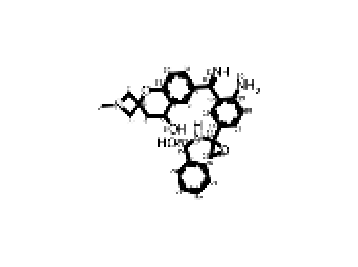 CN1CC2(CC(O)c3cc(C(=N)c4cc(C5(N[C@@H](O)c6ccccc6)CO5)ccc4N)ccc3O2)C1